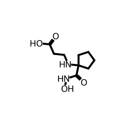 O=C(O)CCNC1(C(=O)NO)CCCC1